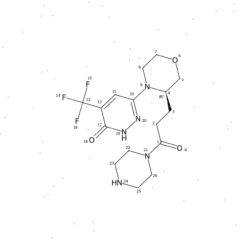 O=C(CC[C@@H]1COCCN1c1cc(C(F)(F)F)c(=O)[nH]n1)N1CCNCC1